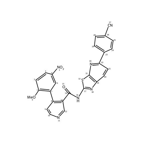 COc1ccc([N+](=O)[O-])cc1-c1ccncc1C(=O)Nc1nc2ccc(-c3ccc(C#N)cc3)nc2s1